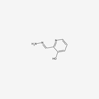 NN=Cc1ncccc1O